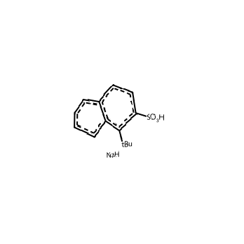 CC(C)(C)c1c(S(=O)(=O)O)ccc2ccccc12.[NaH]